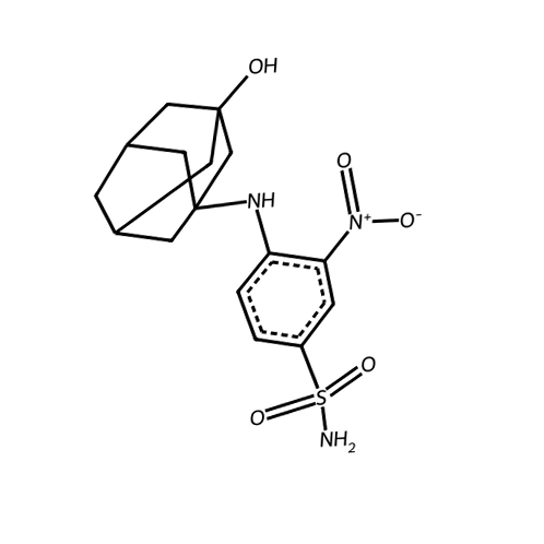 NS(=O)(=O)c1ccc(NC23CC4CC(CC(O)(C4)C2)C3)c([N+](=O)[O-])c1